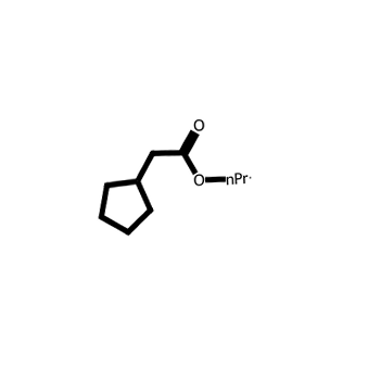 CC[CH]OC(=O)CC1CCCC1